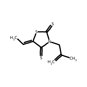 C=C(C)CN1C(=S)S/C(=C\C)C1=S